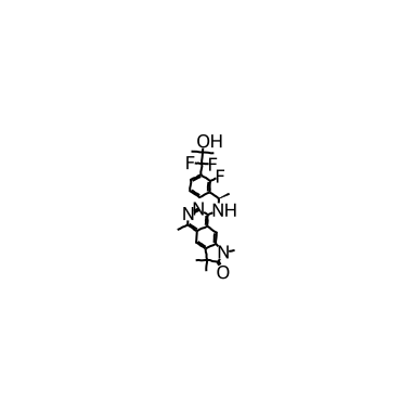 Cc1nnc(N[C@H](C)c2cccc(C(F)(F)C(C)(C)O)c2F)c2cc3c(cc12)C(C)(C)C(=O)N3C